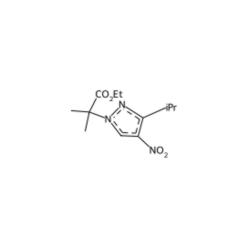 CCOC(=O)C(C)(C)n1cc([N+](=O)[O-])c(C(C)C)n1